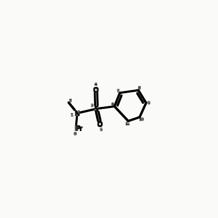 CC(C)N(C)S(=O)(=O)C1=CC=CCC1